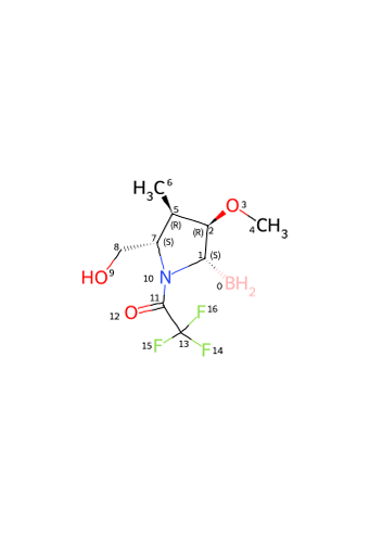 B[C@H]1[C@H](OC)[C@H](C)[C@@H](CO)N1C(=O)C(F)(F)F